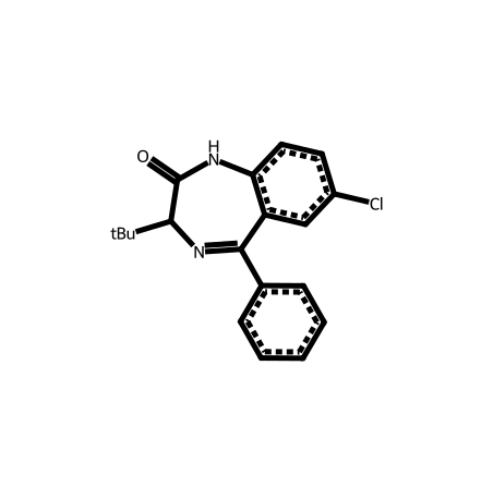 CC(C)(C)C1N=C(c2ccccc2)c2cc(Cl)ccc2NC1=O